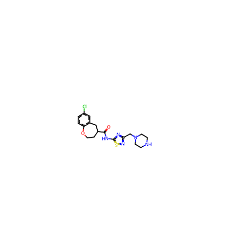 O=C(Nc1nc(CN2CCNCC2)ns1)C1CCOc2ccc(Cl)cc2C1